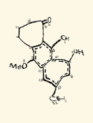 COc1c2c(c(O)c3c(O)cc(C)cc13)C(=O)CCC2